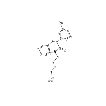 N#Cc1cccc(C2Cc3ccccc3N(CCCCCBr)C2=O)c1